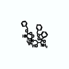 CC(C)C[C@H](NC(=O)OCc1ccccc1)C(=O)NCC(O)C(N)S(=O)(=O)c1ccccc1OCc1ccccc1